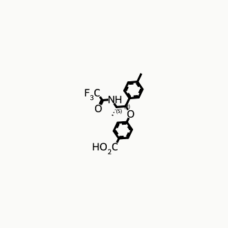 Cc1ccc([C@@H](Oc2ccc(C(=O)O)cc2)[C@H](C)NC(=O)C(F)(F)F)cc1